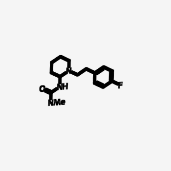 CNC(=O)NC1CCCCN1CCc1ccc(F)cc1